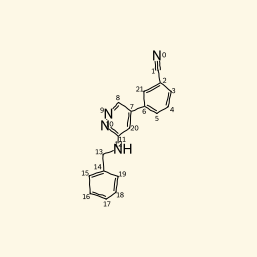 N#Cc1cccc(-c2cnnc(NCc3ccccc3)c2)c1